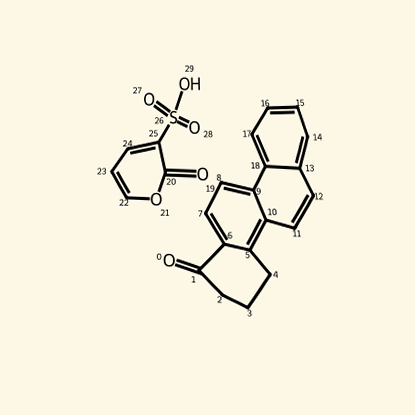 O=C1CCCc2c1ccc1c2ccc2ccccc21.O=c1occcc1S(=O)(=O)O